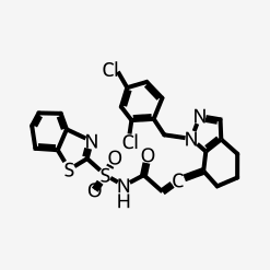 O=C(C=C=C1CCCc2cnn(Cc3ccc(Cl)cc3Cl)c21)NS(=O)(=O)c1nc2ccccc2s1